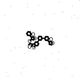 c1cc(-c2ccc3oc4occc4c3c2)cc(-c2ccc3oc4occ(Oc5coc6oc7ccccc7c56)c4c3c2)c1